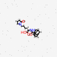 O=C(O)[C@H](CCCCN1CCCC1=O)NC(=O)C12CC3CC(CC(C3)C1)C2